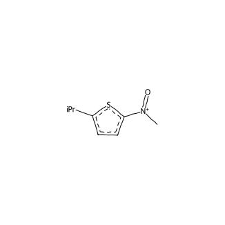 CC(C)c1ccc([N+](C)=O)s1